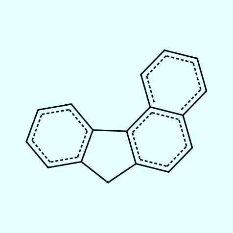 c1ccc2c(c1)Cc1ccc3ccccc3c1-2